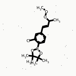 COOC(C)/C=C/c1ccc(B2OC(C)(C)C(C)(C)O2)c(Cl)c1